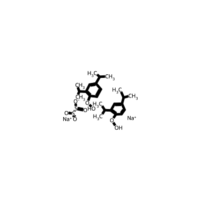 CC(C)c1ccc(OO)c(C(C)C)c1.CC(C)c1ccc(OO)c(C(C)C)c1.O=S([O-])S(=O)[O-].[Na+].[Na+]